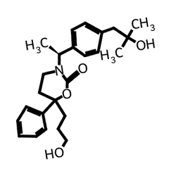 C[C@@H](c1ccc(CC(C)(C)O)cc1)N1CCC(CCCO)(c2ccccc2)OC1=O